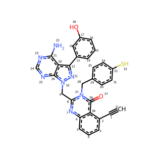 C#Cc1cccc2nc(Cn3nc(-c4cccc(O)c4)c4c(N)ncnc43)n(Cc3ccc(S)cc3)c(=O)c12